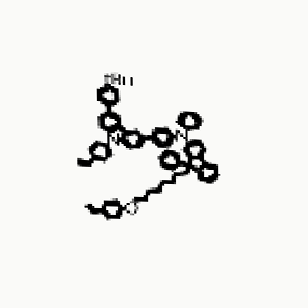 C=Cc1ccc(OCCCCCCCCC2(c3ccccc3)c3ccccc3-c3ccc(N(c4ccccc4)c4ccc(-c5ccc6c(c5)c5cc(-c7ccc(C(C)(C)C)cc7)ccc5n6-c5ccc(C=C)cc5)cc4)cc32)cc1